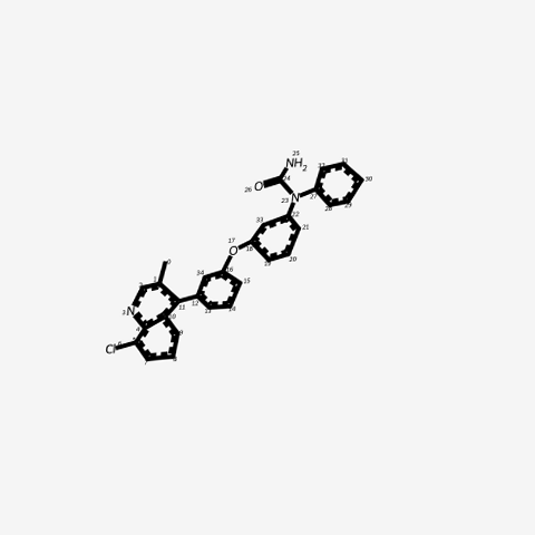 Cc1cnc2c(Cl)cccc2c1-c1cccc(Oc2cccc(N(C(N)=O)c3ccccc3)c2)c1